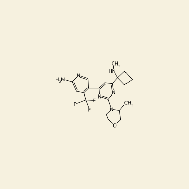 CNC1(c2cc(-c3cnc(N)cc3C(F)(F)F)nc(N3CCOCC3C)n2)CCC1